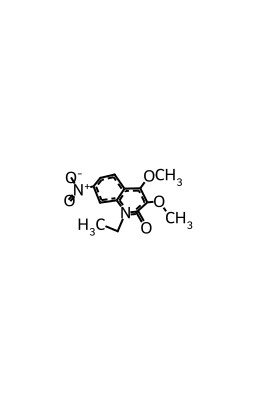 CCn1c(=O)c(OC)c(OC)c2ccc([N+](=O)[O-])cc21